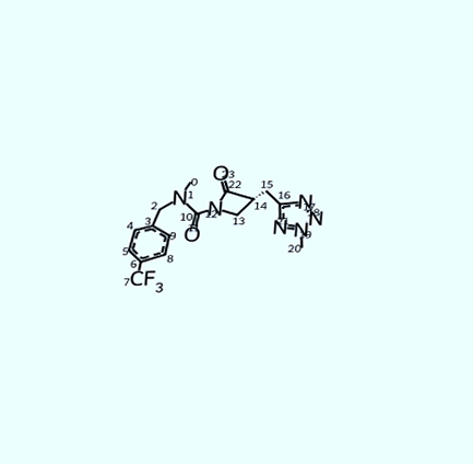 CN(Cc1ccc(C(F)(F)F)cc1)C(=O)N1C[C@@H](Cc2nnn(C)n2)C1=O